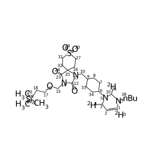 [2H]C1=CC([2H])N(C2CCC(CN3C(=O)N(COCC[Si](C)(C)C)C(=O)C34CCS(=O)(=O)CC4)CC2)C([2H])N1CCCC